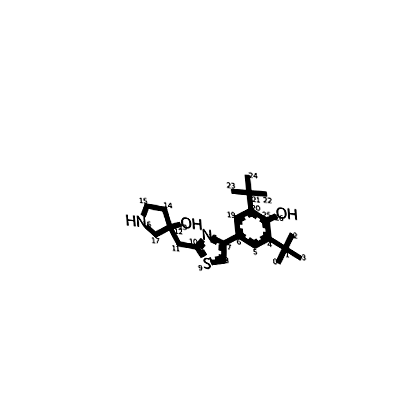 CC(C)(C)c1cc(-c2csc(CC3(O)CCNC3)n2)cc(C(C)(C)C)c1O